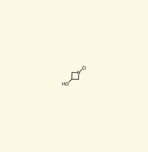 OC1CN(Cl)C1